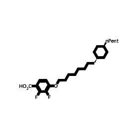 CCCCC[C@H]1CC[C@H](CCCCCCCCOc2ccc(C(=O)O)c(F)c2F)CC1